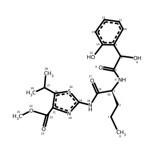 CCC[C@H](NC(=O)C(O)c1ccccc1O)C(=O)Nc1nc(C(=O)OC)c(C(C)C)s1